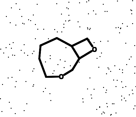 C1CCC2COC2COC1